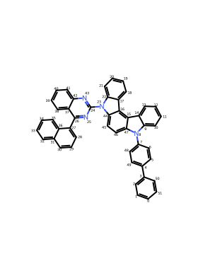 c1ccc(-c2ccc(-n3c4ccccc4c4c5c6ccccc6n(-c6nc(-c7cccc8ccccc78)c7ccccc7n6)c5ccc43)cc2)cc1